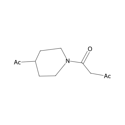 CC(=O)CC(=O)N1CCC(C(C)=O)CC1